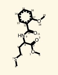 COC(=O)C(CCSC)NC(=O)c1ccccc1OC